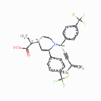 C=C(C)C#C[C@@H](c1ccc(C(F)(F)F)cc1)N1CC[C@@H]([C@H](C)C(=O)O)CC1c1ccc(C(F)(F)F)cc1